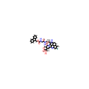 CC[C@@]1(O)C(=O)OCc2c1cc1c3nc4cc(F)c(C)c5c4c4c3c(n1c2=O)=C(C(OCNC(=O)CNC(=O)OCC1c2ccccc2-c2ccccc21)C(F)(F)F)N[C@H]4CC5